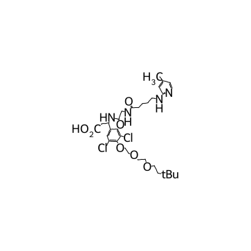 Cc1ccnc(NCCCCC(=O)NCC(=O)NC(CC(=O)O)c2cc(Cl)c(OCCOCCOCCC(C)(C)C)c(Cl)c2)c1